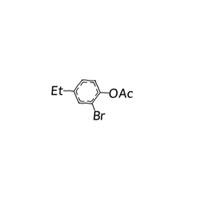 CCc1ccc(OC(C)=O)c(Br)c1